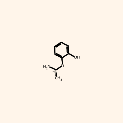 C[C@@H](N)Oc1ccccc1O